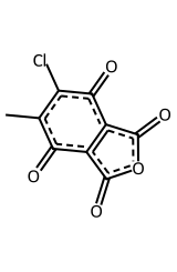 Cc1c(Cl)c(=O)c2c(=O)oc(=O)c=2c1=O